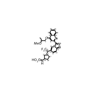 COC(C)COc1cc(-c2nnc3ccc([C@@H](N4CCC(NC(=O)O)C4)C(F)(F)F)cn23)nc2ccccc12